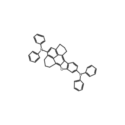 c1ccc(N(c2ccccc2)c2ccc3c(c2)oc2c4c5c(c(N(c6ccccc6)c6ccccc6)cc6c5c(c23)CCC6)CCC4)cc1